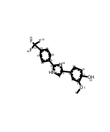 COc1cc(-c2c[nH]c(-c3ccc(C(F)(F)F)cc3)n2)ccc1O